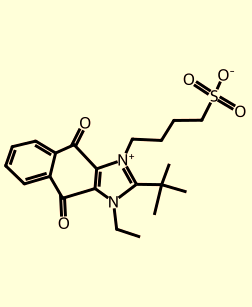 CCn1c2c([n+](CCCCS(=O)(=O)[O-])c1C(C)(C)C)C(=O)c1ccccc1C2=O